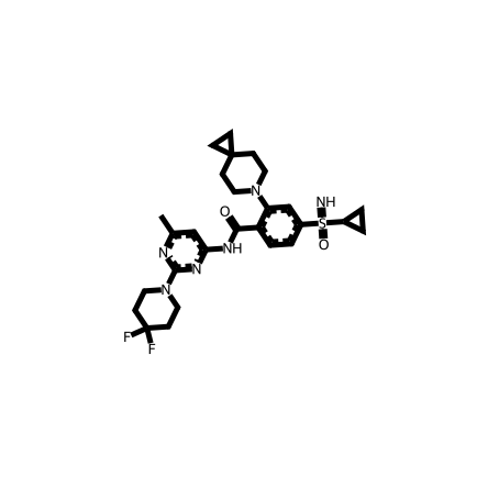 Cc1cc(NC(=O)c2ccc(S(=N)(=O)C3CC3)cc2N2CCC3(CC2)CC3)nc(N2CCC(F)(F)CC2)n1